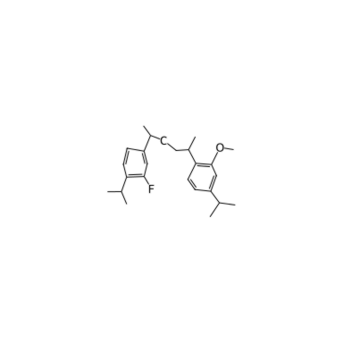 COc1cc(C(C)C)ccc1C(C)CCC(C)c1ccc(C(C)C)c(F)c1